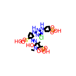 CCn1c(O)c(N=Nc2cc(Nc3nc(Cl)nc(Nc4ccc(S(=O)(=O)O)cc4)n3)ccc2SOOO)c(C)c(CS(=O)(=O)O)c1=O